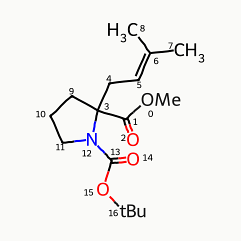 COC(=O)C1(CC=C(C)C)CCCN1C(=O)OC(C)(C)C